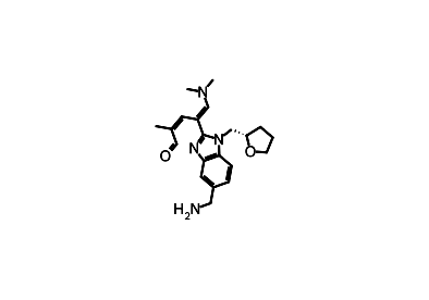 C/C(C=O)=C/C(=C\N(C)C)c1nc2cc(CN)ccc2n1C[C@@H]1CCCO1